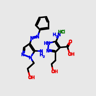 Cl.Nc1[nH]nc(CCO)c1C(=O)O.Nc1c(N=Nc2ccccc2)cnn1CCO